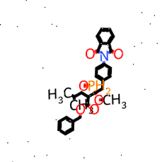 COC(Cc1ccc(N2C(=O)c3ccccc3C2=O)cc1)([PH2]=O)C(CC(C)C)C(=O)OCc1ccccc1